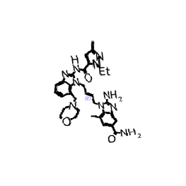 CCn1nc(C)cc1C(=O)Nc1nc2cccc(CN3CCOCC3)c2n1C/C=C/Cn1c(N)nc2cc(C(N)=O)cc(C)c21